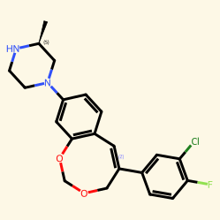 C[C@H]1CN(c2ccc3c(c2)OCOC/C(c2ccc(F)c(Cl)c2)=C\3)CCN1